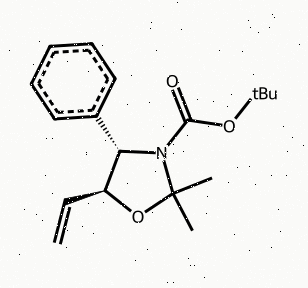 C=C[C@@H]1OC(C)(C)N(C(=O)OC(C)(C)C)[C@H]1c1ccccc1